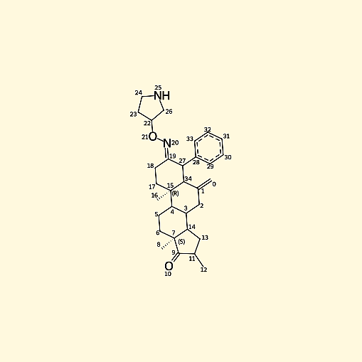 C=C1CC2C(CC[C@]3(C)C(=O)C(C)CC23)[C@@]2(C)CCC(=NOC3CCNC3)C(c3ccccc3)C12